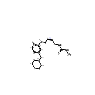 CC(C)NC(=O)NC/C=C\COc1cc(CN2CCCCC2)ccn1